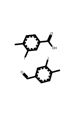 Cc1ccc(C(=O)O)cc1I.Cc1ccc(C=O)cc1I